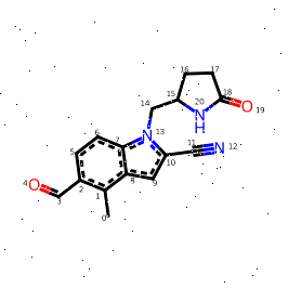 Cc1c(C=O)ccc2c1cc(C#N)n2CC1CCC(=O)N1